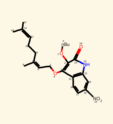 CCCCOc1c(OCC=C(C)CCC=C(C)C)c2ccc([N+](=O)[O-])cc2[nH]c1=O